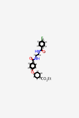 CCOC(=O)[C@H]1CC[C@@H](Oc2ccc(C(=O)NCCNC(=O)c3ccc(F)cc3)cc2)CC1